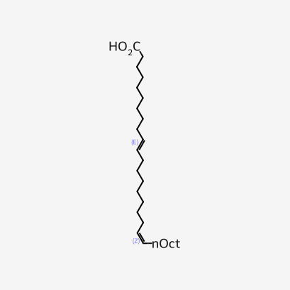 CCCCCCCC/C=C\CCCCCCC/C=C/CCCCCCCCC(=O)O